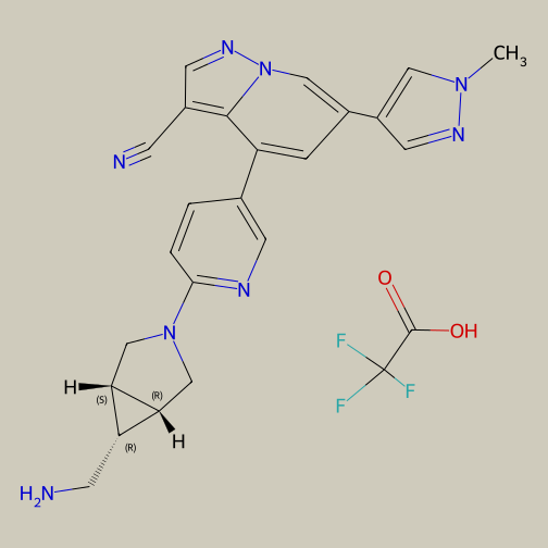 Cn1cc(-c2cc(-c3ccc(N4C[C@@H]5[C@H](CN)[C@@H]5C4)nc3)c3c(C#N)cnn3c2)cn1.O=C(O)C(F)(F)F